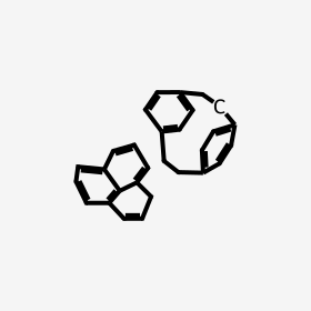 C1=Cc2cccc3cccc(c23)C1.c1cc2ccc1CCc1ccc(cc1)CC2